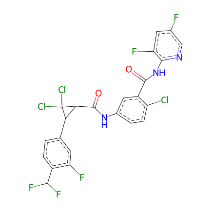 O=C(Nc1ncc(F)cc1F)c1cc(NC(=O)C2C(c3ccc(C(F)F)c(F)c3)C2(Cl)Cl)ccc1Cl